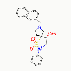 O=S1(=O)N(c2ccccc2)C[C@H](O)[C@]12CCN(Cc1ccc3ccccc3c1)C2